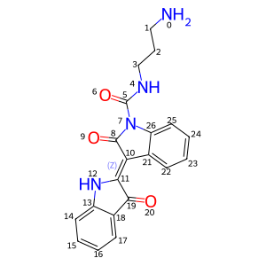 NCCCNC(=O)N1C(=O)/C(=C2\Nc3ccccc3C2=O)c2ccccc21